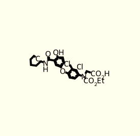 CCOC(=O)N(CC(=O)O)c1ccc(Oc2ccc(O)c(C(=O)NC3CCCCC3)c2)c(Cl)c1Cl